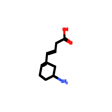 NC1CCC=C(/C=C/CC(=O)O)C1